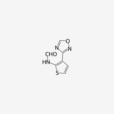 O=CNc1sccc1-c1ncon1